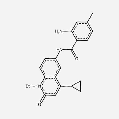 CCn1c(=O)cc(C2CC2)c2cc(NC(=O)c3ccc(C)cc3N)ccc21